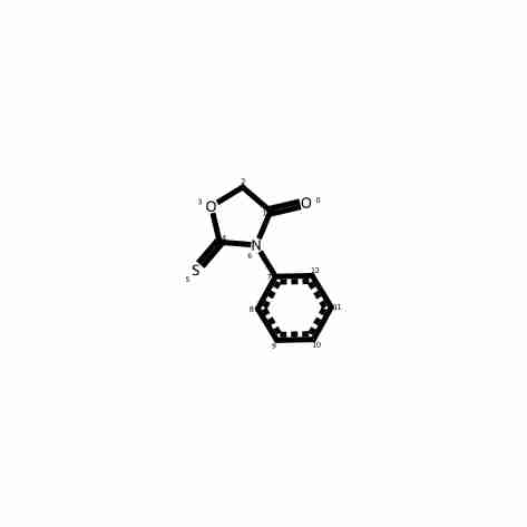 O=C1COC(=S)N1c1ccccc1